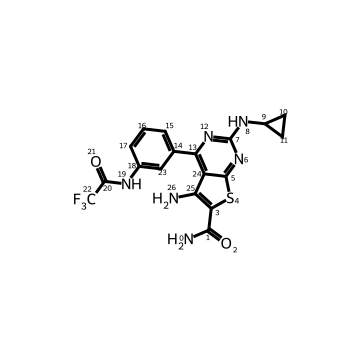 NC(=O)c1sc2nc(NC3CC3)nc(-c3cccc(NC(=O)C(F)(F)F)c3)c2c1N